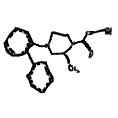 C[C@H]1CN(c2ccccc2-c2ccccc2)CCN1C(=O)OC(C)(C)C